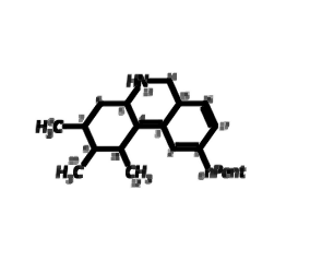 CCCCCC1=CC2=C3C(CC(C)C(C)C3C)NCC2C=C1